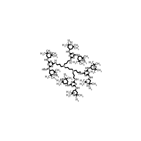 CCCCN(c1nc(NCCCN(CCCCN(CCCNc2nc(NC3CC(C)(C)NC(C)(C)C3)nc(NC3CC(C)(C)NC(C)(C)C3)n2)CCCNc2nc(NC3CC(C)(C)NC(C)(C)C3)nc(NC3CC(C)(C)NC(C)(C)C3)n2)CCCNc2nc(NC3CC(C)(C)NC(C)(C)C3)nc(NC3CC(C)(C)NC(C)(C)C3)n2)nc(NC2CC(C)(C)NC(C)(C)C2)n1)C1CC(C)(C)NC(C)(C)C1